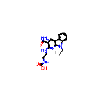 CCn1c2ccccc2c2cc(C(N)=O)c(NCCNC(=O)O)nc21